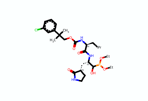 CCOP(OCC)C(O)[C@H](C[C@@H]1CCNC1=O)NC(=O)[C@H](CC(C)C)NC(=O)OCC(C)(C)c1cccc(Cl)c1